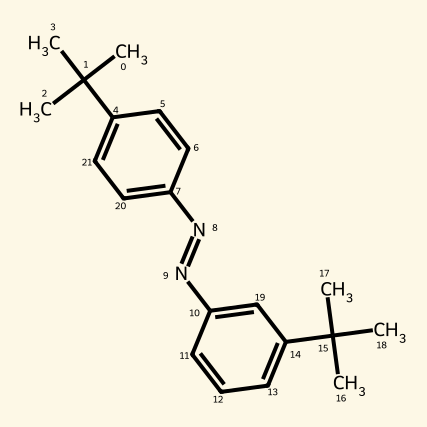 CC(C)(C)c1ccc(/N=N/c2cccc(C(C)(C)C)c2)cc1